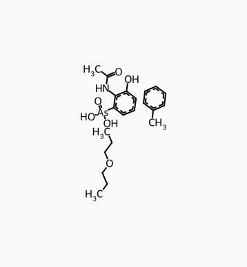 CC(=O)Nc1c(O)cccc1[As](=O)(O)O.CCCOCCC.Cc1ccccc1